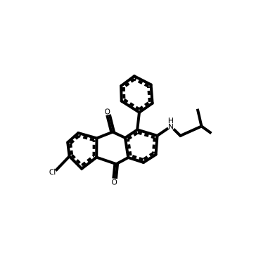 CC(C)CNc1ccc2c(c1-c1ccccc1)C(=O)c1ccc(Cl)cc1C2=O